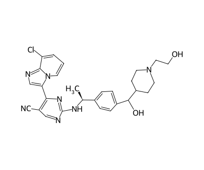 C[C@H](Nc1ncc(C#N)c(-c2cnc3c(Cl)cccn23)n1)c1ccc(C(O)C2CCN(CCO)CC2)cc1